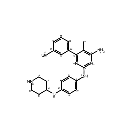 Cc1c(N)nc(Nc2ccc(OC3CCNCC3)cc2)nc1-c1cccc(C(C)(C)C)c1